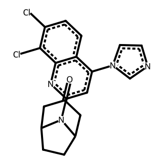 O=C1CC2CCC(C1)N2c1cc(-n2ccnc2)c2ccc(Cl)c(Cl)c2n1